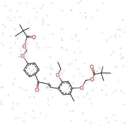 CCOc1cc(OCOC(=O)C(C)(C)C)c(C)cc1/C=C/C(=O)c1ccc(OCOC(=O)C(C)(C)C)cc1